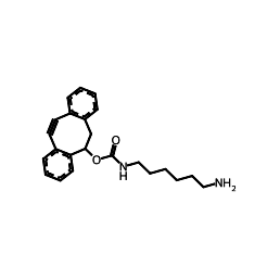 NCCCCCCNC(=O)OC1Cc2ccccc2C#Cc2ccccc21